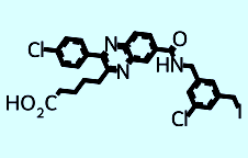 O=C(O)CCCCc1nc2cc(C(=O)NCc3cc(Cl)cc(CI)c3)ccc2nc1-c1ccc(Cl)cc1